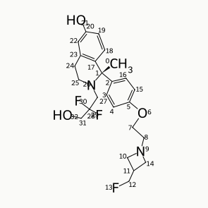 C[C@]1(c2ccc(OCCN3CC(CF)C3)cc2)c2ccc(O)cc2CCN1CC(F)(F)CO